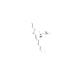 CCCCCCCCCCCC.O=S([O-])O.[Na+]